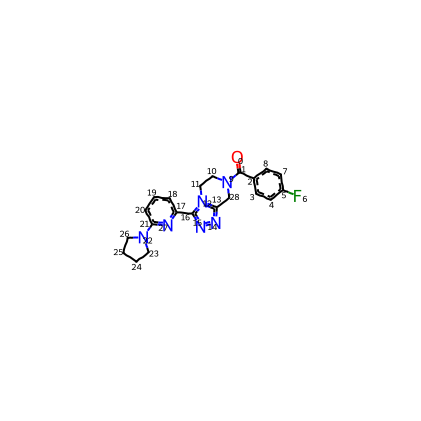 O=C(c1ccc(F)cc1)N1CCn2c(nnc2-c2cccc(N3CCCC3)n2)C1